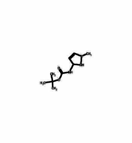 CN1C=CC(NC(=O)OC(C)(C)C)N1